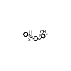 Cc1cccc(C=C2CCN(C(=S)Nc3ccccc3)CC2)n1